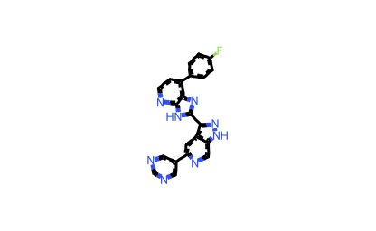 Fc1ccc(-c2ccnc3[nH]c(-c4n[nH]c5cnc(-c6cncnc6)cc45)nc23)cc1